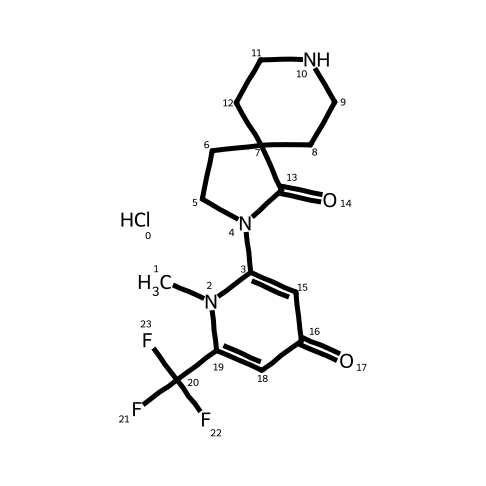 Cl.Cn1c(N2CCC3(CCNCC3)C2=O)cc(=O)cc1C(F)(F)F